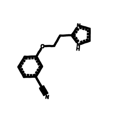 N#Cc1cccc(OCCc2ncc[nH]2)c1